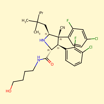 CC(C)C(C)(C)C[C@@H]1N[C@@H](C(=O)NCCCCO)[C@H](c2cccc(Cl)c2F)[C@@]1(C#N)c1ccc(Cl)cc1F